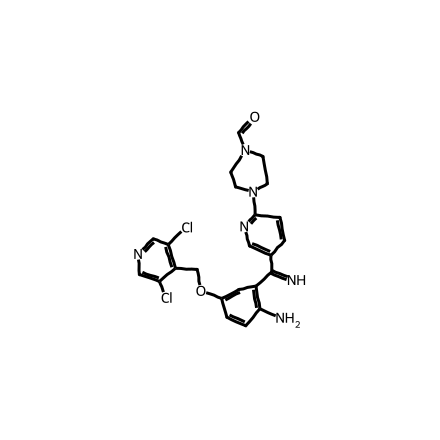 N=C(c1ccc(N2CCN(C=O)CC2)nc1)c1cc(OCc2c(Cl)cncc2Cl)ccc1N